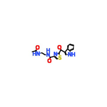 CC(=O)NCCNC(=O)c1csc(C(=O)c2c[nH]c3ccccc23)n1